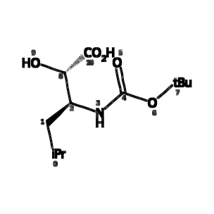 CC(C)C[C@H](NC(=O)OC(C)(C)C)[C@H](O)C(=O)O